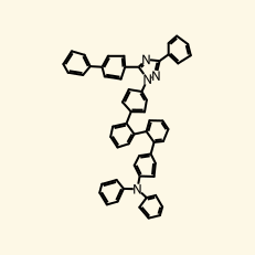 c1ccc(-c2ccc(-c3nc(-c4ccccc4)nn3-c3ccc(-c4ccccc4-c4ccccc4-c4ccc(N(c5ccccc5)c5ccccc5)cc4)cc3)cc2)cc1